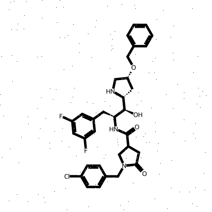 O=C(N[C@@H](Cc1cc(F)cc(F)c1)[C@H](O)[C@H]1C[C@@H](OCc2ccccc2)CN1)C1CC(=O)N(Cc2ccc(Cl)cc2)C1